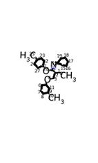 CCC(=COc1cccc(C)c1)/C(=N\c1ccccc1)Oc1ccc(C)cc1